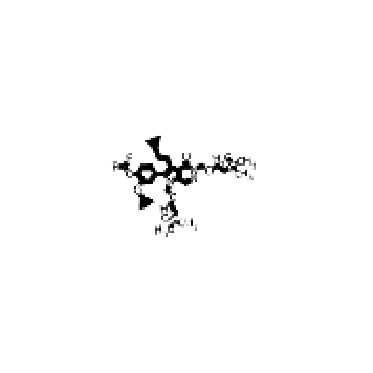 C[Si](C)(C)CCOCn1ncc2c(c(/C=C/C3CC3)c(-c3ccc(OC(F)F)c(OC4CC4)c3)n2COCC[Si](C)(C)C)c1=O